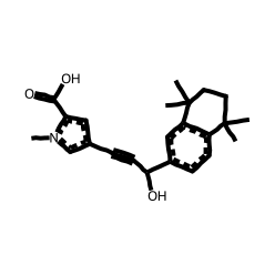 Cn1cc(C#CC(O)c2ccc3c(c2)C(C)(C)CCC3(C)C)cc1C(=O)O